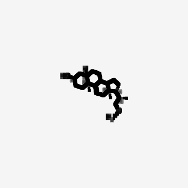 C[C@H](COP)[C@H]1CCC2C3CC[C@@H]4C[C@H](O)CC[C@]4(C)C3=CC[C@@]21C